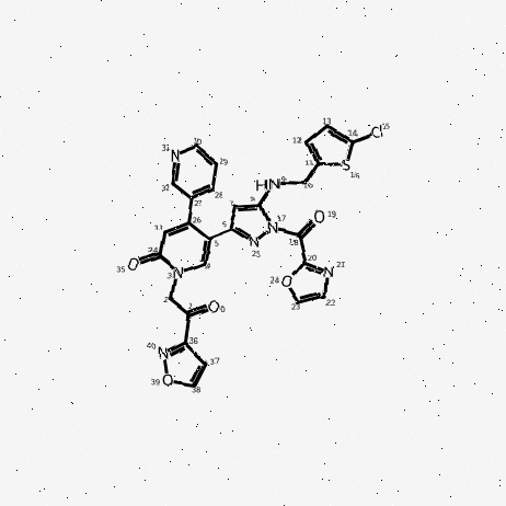 O=C(Cn1cc(-c2cc(NCc3ccc(Cl)s3)n(C(=O)c3ncco3)n2)c(-c2cccnc2)cc1=O)c1ccon1